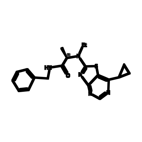 CCN(c1nc2ncnc(C3CC3)c2s1)[C@H](C)C(=O)NCc1ccccc1